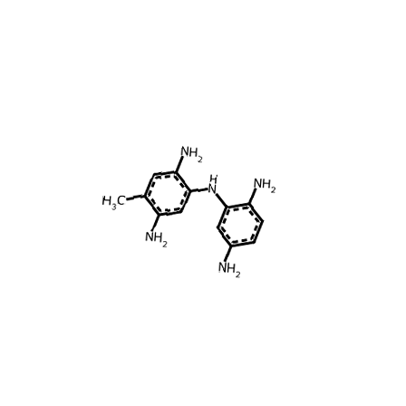 Cc1cc(N)c(Nc2cc(N)ccc2N)cc1N